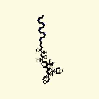 CC/C=C\C/C=C\C/C=C\C/C=C\C/C=C\CCCC(=O)NCC(=O)Nc1cc(C(F)(F)F)c(-c2cc(N3CCOCC3)nc(N3CCOCC3)n2)cn1